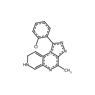 Cc1nc2c(n3c(-c4ccccc4Cl)nnc13)=CCNC=2